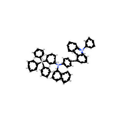 c1ccc(-n2c3ccccc3c3c(-c4ccc(N(c5cccc([Si](c6ccccc6)(c6ccccc6)c6ccccc6)c5)c5cccc6ccccc56)cc4)cccc32)cc1